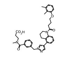 Cc1cccc(OCCCC(=O)N2CCCc3c(-c4cnn(Cc5cccc(C(=O)N(C)CCC(=O)O)c5)c4)cccc32)c1C